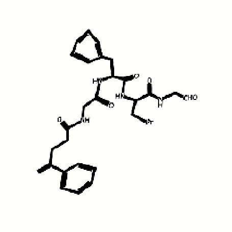 C=C(CCC(=O)NCC(=O)NC(Cc1ccccc1)C(=O)NC(CC(C)C)C(=O)NCC=O)c1ccccc1